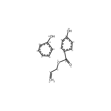 C=CCOC(=O)c1ccc(O)cc1.Oc1ccccc1